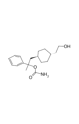 CC(C[C@H]1CC[C@H](CCO)CC1)(OC(N)=O)c1ccccc1